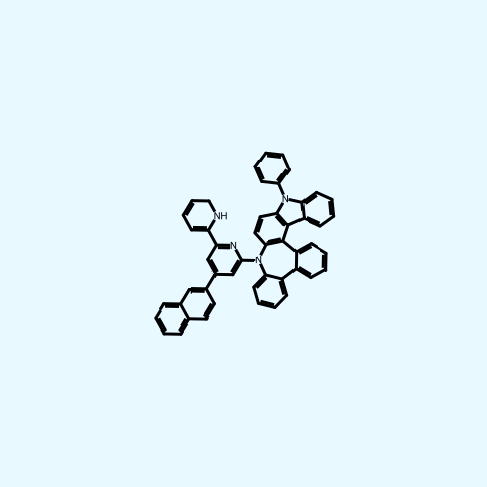 C1=CCNC(c2cc(-c3ccc4ccccc4c3)cc(N3c4ccccc4-c4ccccc4-c4c3ccc3c4c4ccccc4n3-c3ccccc3)n2)=C1